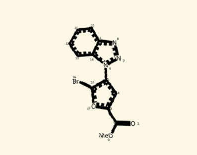 COC(=O)c1cc(-n2nnc3ccccc32)c(Br)o1